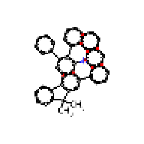 CC1(C)c2ccccc2-c2ccc(-c3ccccc3N(c3ccccc3)c3cccc(-c4ccccc4)c3-c3ccccc3-c3ccccc3)cc21